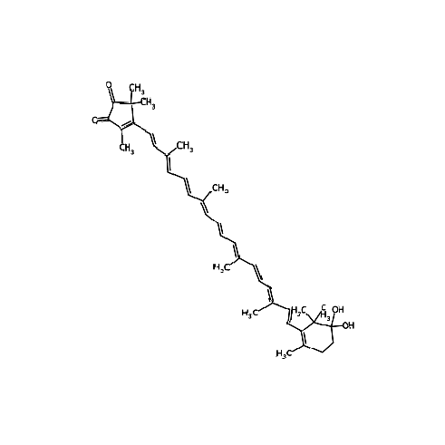 CC1=C(/C=C/C(C)=C/C=C/C(C)=C/C=C/C=C(C)/C=C/C=C(C)/C=C/C2=C(C)C(=O)C(=O)C2(C)C)C(C)(C)C(O)(O)CC1